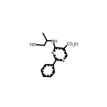 CCOC(=O)c1cnc(-c2ccccc2)nc1NC(C)CO